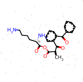 C=C(C(=O)OC(=O)[C@@H](N)CCCCN)C(=O)c1ccccc1C(=O)c1ccccc1